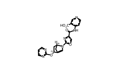 O=C(Nc1ccncc1C(=O)O)c1coc(N2C=C3C[C@@H]2C[C@@H]3Oc2ncccn2)n1